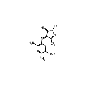 CCN1N=C(C(F)(F)F)C(=Nc2cc(OC)c(N)cc2N)C1=N